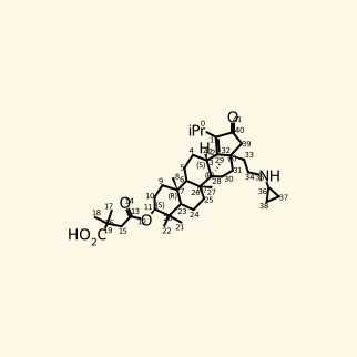 CC(C)C1=C2[C@H]3CCC4[C@@]5(C)CC[C@H](OC(=O)CC(C)(C)C(=O)O)C(C)(C)C5CC[C@@]4(C)[C@]3(C)CC[C@@]2(CCNC2CC2)CC1=O